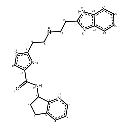 O=C(NC1CCc2cccnc21)c1csc(CCNCCc2nc3ccccc3[nH]2)n1